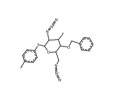 Cc1ccc(SC2OC(CN=[N+]=[N-])C(OCc3ccccc3)C(F)C2N=[N+]=[N-])cc1